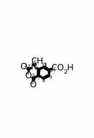 Cn1c(=O)oc(=O)c2ccc(C(=O)O)cc21